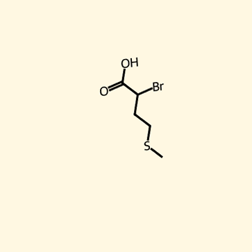 CSCCC(Br)C(=O)O